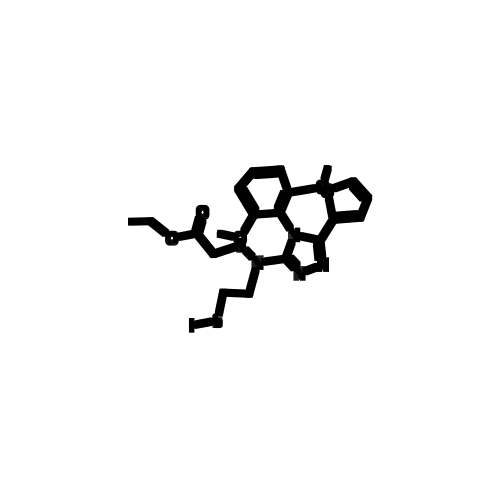 CCOC(=O)CSN(CCSI)c1nnc(-c2ccco2)n1-c1c(OC)cccc1OC